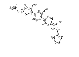 CC(=O)NC[C@H]1CN(c2ccc(-c3ccc(C(=O)NCC4=NCC=N4)nc3)c(F)c2)C(=O)O1